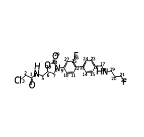 O=C(CCl)NCC1CN(c2ccc(-c3ccc(CNCCCF)cc3)c(F)c2)C(=O)O1